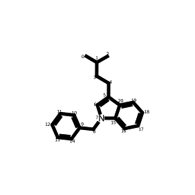 CC(C)CCc1cn(Cc2ccccc2)c2ccccc12